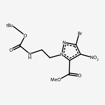 COC(=O)c1c([N+](=O)[O-])c(Br)nn1CCNC(=O)OC(C)(C)C